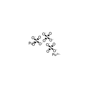 O=S(=O)([O-])[O-].O=S(=O)([O-])[O-].O=S(=O)([O-])[O-].[Pu+3].[Pu+3]